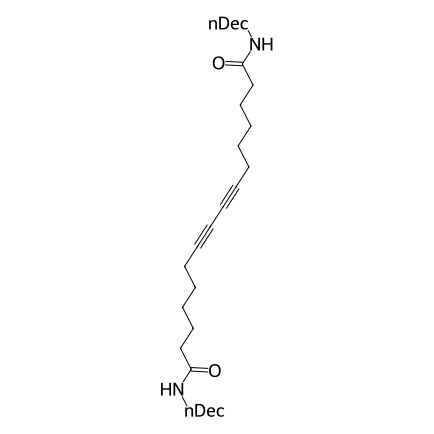 CCCCCCCCCCNC(=O)CCCCCC#CC#CCCCCCC(=O)NCCCCCCCCCC